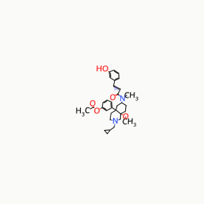 COC12CCC(N(C)C(=O)/C=C/c3cccc(O)c3)CC1(c1cccc(OC(C)=O)c1)CCN(CC1CC1)C2